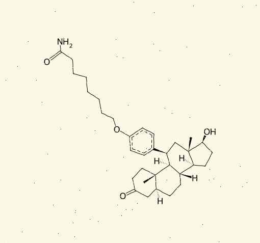 C[C@]12CCC(=O)C[C@@H]1CC[C@@H]1[C@@H]2[C@@H](c2ccc(OCCCCCCCC(N)=O)cc2)C[C@]2(C)[C@@H](O)CC[C@@H]12